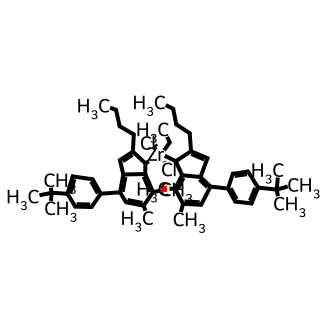 CCCCC1=Cc2c(-c3ccc(C(C)(C)C)cc3)cc(C)c(C)c2[CH]1[Zr]([Cl])([Cl])([CH2]C)[CH]1C(CCCC)=Cc2c(-c3ccc(C(C)(C)C)cc3)cc(C)c(C)c21